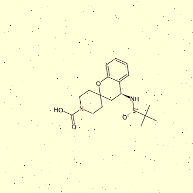 CC(C)(C)[S@+]([O-])N[C@H]1CC2(CCN(C(=O)O)CC2)Oc2ccccc21